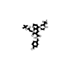 CC(C)(C)OC(=O)Cn1c(=O)c(C(=O)NCc2ccc(Cl)cc2)cc2c(N3CCNC(C(F)(F)F)C3)ccnc21